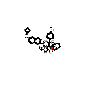 NC1CC2CCC(C1)N2C(=O)[C@@H](NS(=O)(=O)c1ccc2cc(OC3CCC3)ccc2c1)C(F)(F)c1ccc(Br)cc1